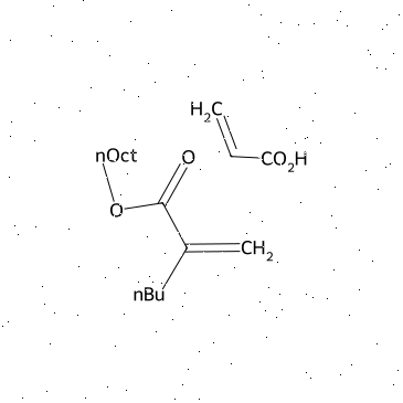 C=C(CCCC)C(=O)OCCCCCCCC.C=CC(=O)O